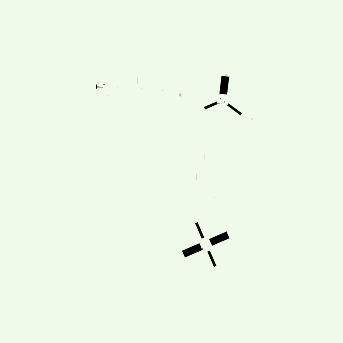 O.O.O.O.O.O.O.O.O=S(=O)([O-])[O-].O=[N+]([O-])O.[Cu+2]